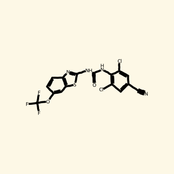 N#Cc1cc(Cl)c(NC(=O)Nc2nc3ccc(OC(F)(F)F)cc3s2)c(Cl)c1